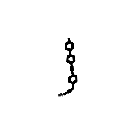 CCCC#CCc1ccc(C#Cc2ccc(-c3ccc(C)cc3)cc2)cc1